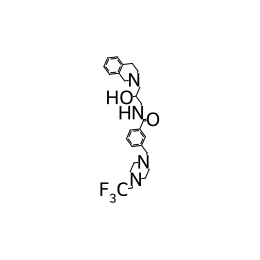 O=C(NCC(O)CN1CCc2ccccc2C1)c1cccc(CN2CCN(CC(F)(F)F)CC2)c1